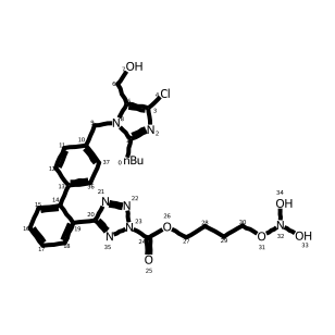 CCCCc1nc(Cl)c(CO)n1Cc1ccc(-c2ccccc2-c2nnn(C(=O)OCCCCON(O)O)n2)cc1